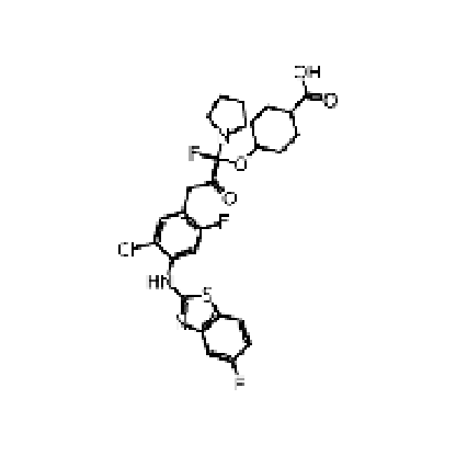 O=C(O)C1CCC(OC(F)(C(=O)Cc2cc(Cl)c(Nc3nc4cc(F)ccc4s3)cc2F)N2CCCC2)CC1